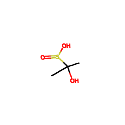 CC(C)(O)S(=O)O